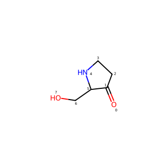 O=C1CCNC1CO